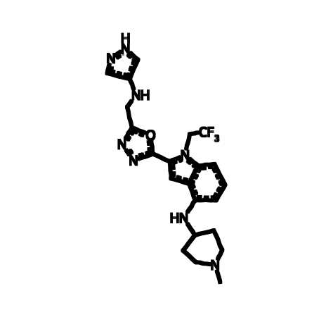 CN1CCC(Nc2cccc3c2cc(-c2nnc(CNc4cn[nH]c4)o2)n3CC(F)(F)F)CC1